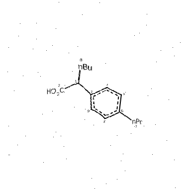 CCCCC(C(=O)O)c1ccc(CCC)cc1